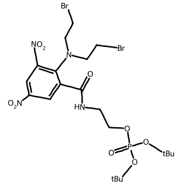 CC(C)(C)OP(=O)(OCCNC(=O)c1cc([N+](=O)[O-])cc([N+](=O)[O-])c1N(CCBr)CCBr)OC(C)(C)C